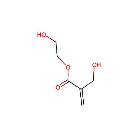 C=C(CO)C(=O)OCCO